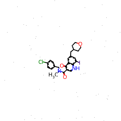 CN(Cc1ccc(Cl)cc1)C(=O)c1c[nH]c2c(I)cc(CC3CCOCC3)cc2c1=O